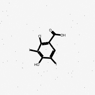 O=C(O)c1cc(I)c(O)c(I)c1Cl